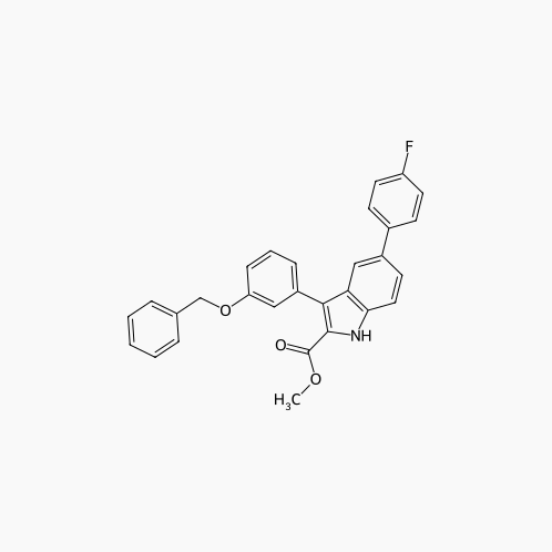 COC(=O)c1[nH]c2ccc(-c3ccc(F)cc3)cc2c1-c1cccc(OCc2ccccc2)c1